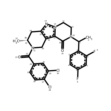 CC(c1ccc(F)cc1F)N1CCn2nc3c(c2C1=O)CN(C(=O)c1ccc(Cl)c(Cl)c1)[C@H](C)C3